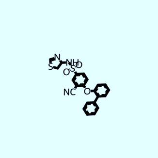 N#Cc1cc(S(=O)(=O)NC2CSC=N2)ccc1Oc1ccccc1-c1ccccc1